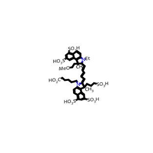 CCN1c2ccc3c(S(=O)(=O)O)cc(S(=O)(=O)O)cc3c2C(C)(CCOC)C1C=CC=CC=C1N(CCCCCC(=O)O)c2ccc3c(S(=O)(=O)O)cc(S(=O)(=O)O)cc3c2C1(C)CCCS(=O)(=O)O